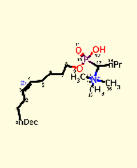 CCCCCCCCCCCC/C=C\CCCCOP(=O)(O)C(CCC)[N+](C)(C)C